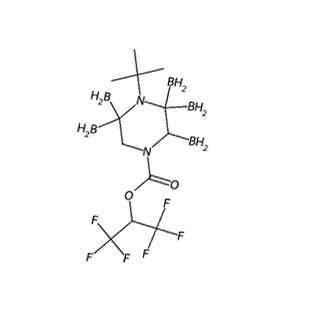 BC1N(C(=O)OC(C(F)(F)F)C(F)(F)F)CC(B)(B)N(C(C)(C)C)C1(B)B